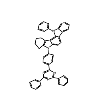 c1ccc(-c2nc(-c3ccccc3)nc(-c3ccc(-n4c5c(c6c4ccc4c7ccccc7n(-c7ccccc7)c46)CCCC5)cc3)n2)cc1